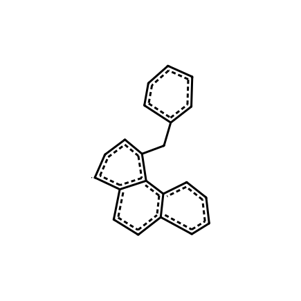 [c]1ccc(Cc2ccccc2)c2c1ccc1ccccc12